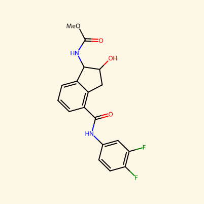 COC(=O)NC1c2cccc(C(=O)Nc3ccc(F)c(F)c3)c2CC1O